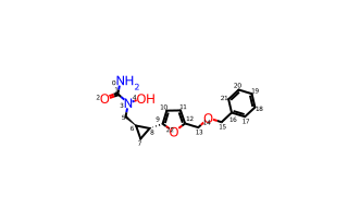 NC(=O)N(O)C[C@@H]1C[C@H]1c1ccc(COCc2ccccc2)o1